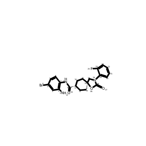 Nc1cc(Br)ccc1NC(=O)[C@H]1CC[C@]2(CC1)CN(c1ccccc1F)C(=O)O2